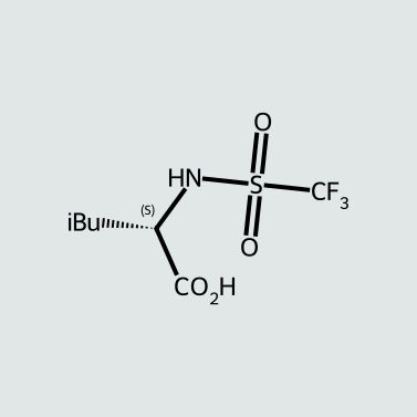 CCC(C)[C@H](NS(=O)(=O)C(F)(F)F)C(=O)O